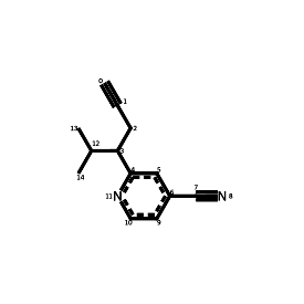 C#CCC(c1cc(C#N)ccn1)C(C)C